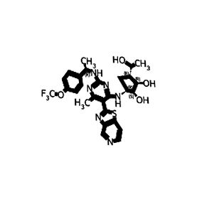 Cc1nc(N[C@H](C)c2ccc(OC(F)(F)F)cc2)nc(N[C@@H]2C[C@H](C(C)O)[C@@H](O)[C@H]2O)c1-c1nc2cnccc2s1